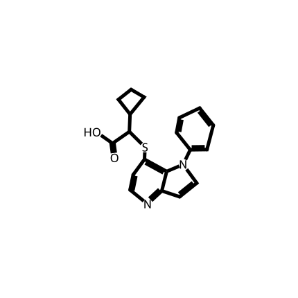 O=C(O)C(Sc1ccnc2ccn(-c3ccccc3)c12)C1CCC1